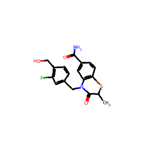 CC1Sc2ccc(C(N)=O)cc2N(Cc2ccc(CO)c(F)c2)C1=O